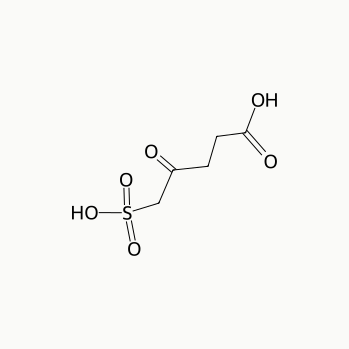 O=C(O)CCC(=O)CS(=O)(=O)O